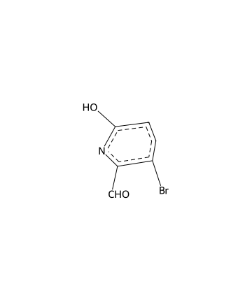 O=Cc1nc(O)ccc1Br